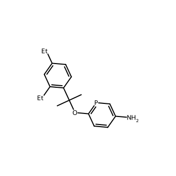 CCc1ccc(C(C)(C)Oc2ccc(N)cp2)c(CC)c1